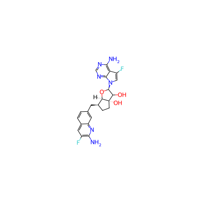 Nc1nc2cc(C[C@@H]3CC[C@]4(O)C(O)[C@H](n5cc(F)c6c(N)ncnc65)O[C@H]34)ccc2cc1F